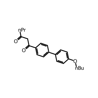 CCCCOc1ccc(-c2ccc(C(=O)CC(=O)CCC)cc2)cc1